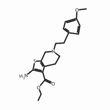 CCOC(=O)c1c(N)sc2c1CCN(CCc1ccc(OC)cc1)C2